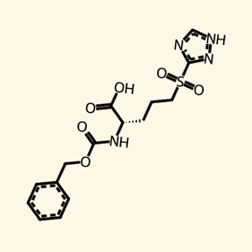 O=C(N[C@@H](CCCS(=O)(=O)c1nc[nH]n1)C(=O)O)OCc1ccccc1